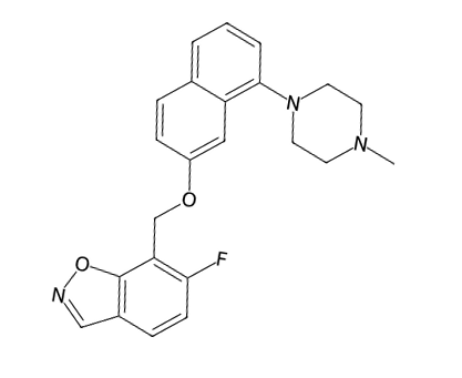 CN1CCN(c2cccc3ccc(OCc4c(F)ccc5cnoc45)cc23)CC1